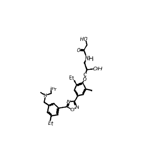 CCc1cc(CN(C)CC(C)C)cc(-c2nc(-c3cc(C)c(OCC(O)CNC(=O)CO)c(CC)c3)no2)c1